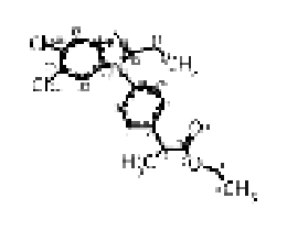 CCOC(=O)C(C)c1ccc(-n2c(CC)nc3cc(Cl)c(Cl)cc32)cc1